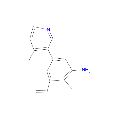 C=Cc1cc(-c2cnccc2C)cc(N)c1C